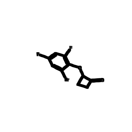 O=C1CCC1Oc1c(F)cc(F)cc1Br